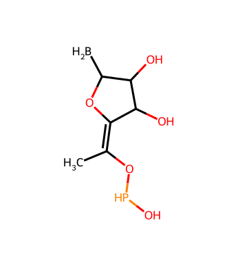 BC1O/C(=C(\C)OPO)C(O)C1O